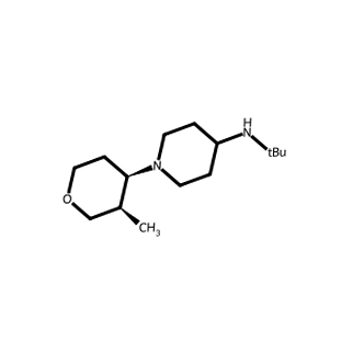 C[C@H]1COCC[C@H]1N1CCC(NC(C)(C)C)CC1